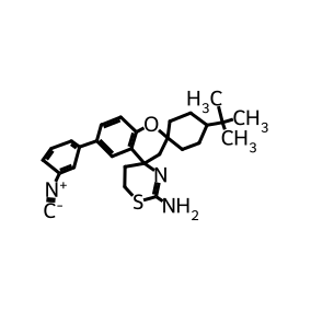 [C-]#[N+]c1cccc(-c2ccc3c(c2)C2(CCSC(N)=N2)CC2(CCC(C(C)(C)C)CC2)O3)c1